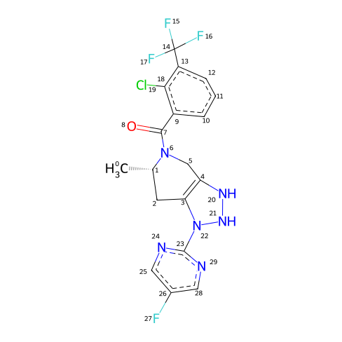 C[C@H]1CC2=C(CN1C(=O)c1cccc(C(F)(F)F)c1Cl)NNN2c1ncc(F)cn1